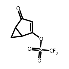 O=C1C=C(OS(=O)(=O)C(F)(F)F)C2CC12